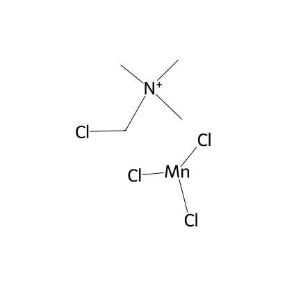 C[N+](C)(C)CCl.[Cl][Mn]([Cl])[Cl]